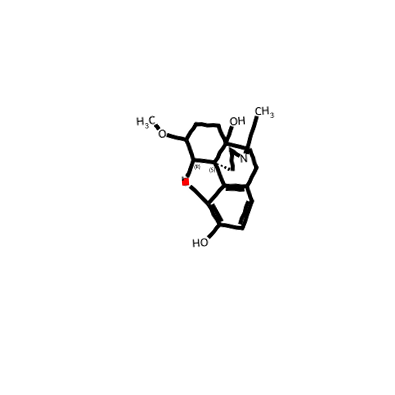 COC1CCC2(O)C3Cc4ccc(O)c5c4[C@@]2(CCN3C)[C@H]1O5